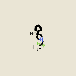 [CH2]C(F)(F)CN1CCC(C#N)(c2ccccc2)CC1